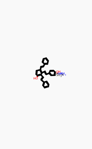 N.N.O=S(=O)(O)O.Oc1ccc(C=Cc2ccccc2)c(C=Cc2ccccc2)c1C=Cc1ccccc1